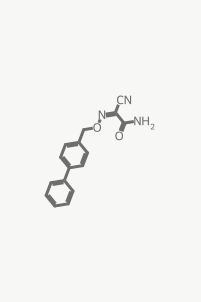 N#CC(=NOCc1ccc(-c2ccccc2)cc1)C(N)=O